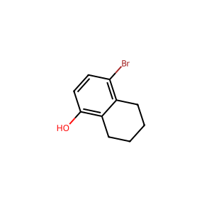 Oc1ccc(Br)c2c1CCCC2